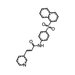 O=C(C=Cc1cccnc1)Nc1ccc(S(=O)(=O)c2cccc3ccccc23)cc1